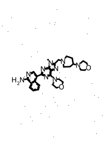 Cn1c(CN2CCC(N3CCOCC3)CC2)nc2c(N3CCOCC3)nc(-c3cnc(N)c4ccccc34)nc21